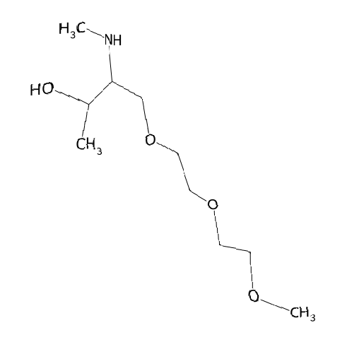 CNC(COCCOCCOC)C(C)O